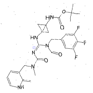 C=C1NC=CC=C1CN(C)C(=O)/N=C(/NC12CC1(NC(=O)OC(C)(C)C)C2)N(C=O)Cc1cc(F)c(F)c(F)c1